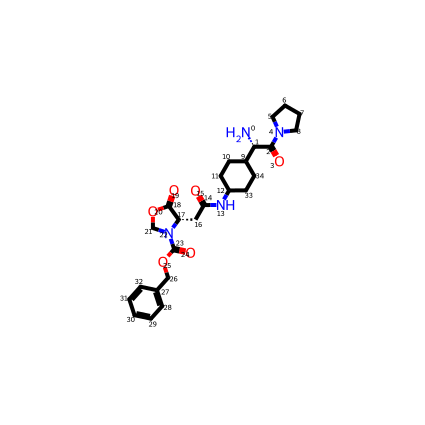 N[C@H](C(=O)N1CCCC1)C1CCC(NC(=O)C[C@H]2C(=O)OCN2C(=O)OCc2ccccc2)CC1